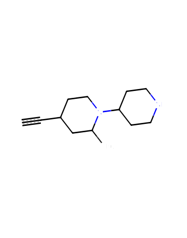 C#CC1CCN(C2CCNCC2)C(C(C)(C)C)C1